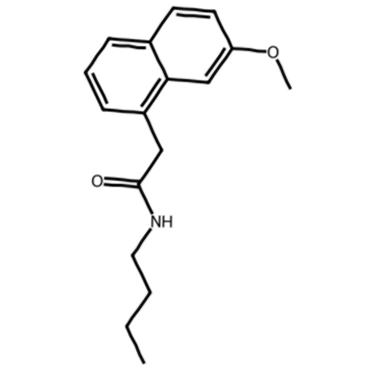 CCCCNC(=O)Cc1cccc2ccc(OC)cc12